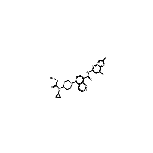 Cc1cn2nc(NC(=O)c3ccc(N4CCC(N(C(=O)OC(C)(C)C)C5CC5)CC4)c4ccnnc34)cc(C)c2n1